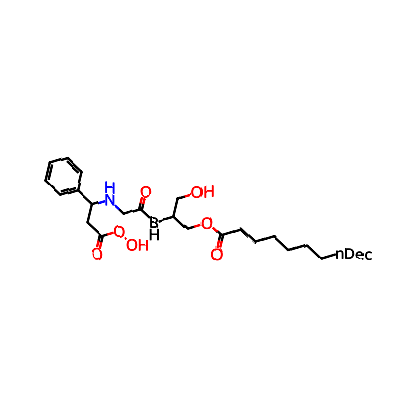 CCCCCCCCCCCCCCCCC(=O)OCC(BC(=O)CNC(CC(=O)OO)c1ccccc1)CO